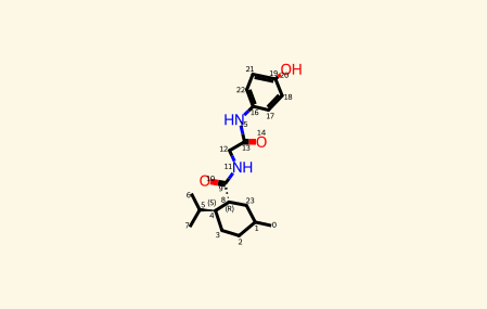 CC1CC[C@@H](C(C)C)[C@H](C(=O)NCC(=O)Nc2ccc(O)cc2)C1